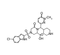 Cn1nc(C(C2CCNCC2)N2C(=O)CN(S(=O)(=O)c3cc4cc(Cl)ccc4[nH]3)CC2C(=O)O)ccc1=O